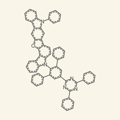 c1ccc(-c2nc(-c3ccccc3)nc(-c3cc(-c4ccccc4)c(-n4c5ccccc5c5c6oc7cc8c9ccccc9n(-c9ccccc9)c8cc7c6ccc54)c(-c4ccccc4)c3)n2)cc1